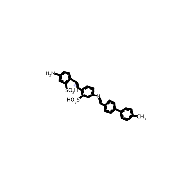 Cc1ccc(-c2ccc(C=Nc3ccc(/C=C/c4ccc(N)cc4S(=O)(=O)O)c(S(=O)(=O)O)c3)cc2)cc1